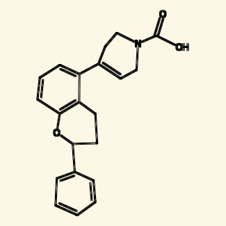 O=C(O)N1CC=C(c2cccc3c2CCC(c2ccccc2)O3)CC1